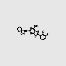 Cn1c(-c2cccc(F)c2Cl)nc2c(N)nc(C#CC3(O)CCCC3)nc21